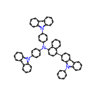 c1ccc(-n2c3ccccc3c3ccc(-c4ccc(N(c5ccc(-n6c7ccccc7c7ccccc76)cc5)c5ccc(-n6c7ccccc7c7ccccc76)cc5)c5ccccc45)cc32)cc1